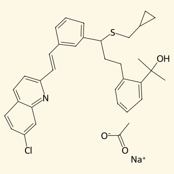 CC(=O)[O-].CC(C)(O)c1ccccc1CCC(SCC1CC1)c1cccc(/C=C/c2ccc3ccc(Cl)cc3n2)c1.[Na+]